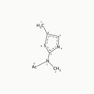 CC(=O)N(C)c1ncc(C)s1